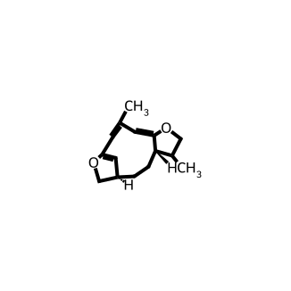 CC1=C\C2=C[C@@H](CC[C@@H]3\C(=C\1)OCC3C)CO2